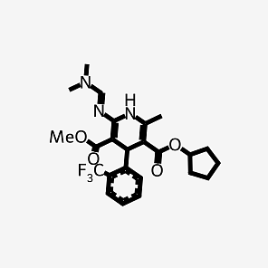 COC(=O)C1=C(N=CN(C)C)NC(C)=C(C(=O)OC2CCCC2)C1c1ccccc1C(F)(F)F